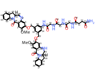 COc1cc2c(cc1OCc1cc(COc3cc4c(cc3OC)C(=O)N3c5ccccc5C[C@H]3CN4)cc(NC(=O)CNC(=O)CNC(=O)CNC(=O)CCC(N)=O)c1)N=C[C@@H]1Cc3ccccc3N1C2=O